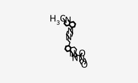 Cc1ccc2c(N3CCN(CCc4cccc5c4CCc4c(C(=O)N6CCOCC6)ncn4-5)CC3)cccc2n1